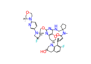 C#Cc1c(F)ccc2c1N([C@H]1COc3c(nc(OC[C@]4(C)C[C@@H](F)CN4c4ccc(N5CCOC[C@H]5C)nc4)nc3NCC3(N(C)C(=O)C=C)CCCC3)C1)C[C@@H](O)C2